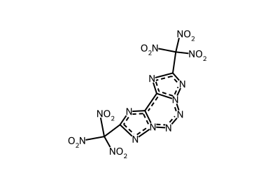 O=[N+]([O-])C(c1nc2c3nc(C([N+](=O)[O-])([N+](=O)[O-])[N+](=O)[O-])nn3nnn2n1)([N+](=O)[O-])[N+](=O)[O-]